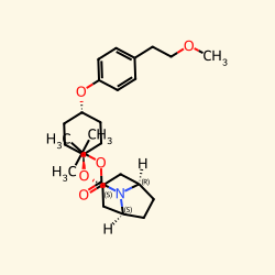 COCCc1ccc(O[C@H]2CC[C@H](O[C@@H]3C[C@H]4CC[C@@H](C3)N4C(=O)OC(C)(C)C)CC2)cc1